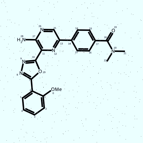 COc1ccccc1-c1nnc(-c2nc(-c3ccc(C(=O)N(C)C)cc3)cnc2N)o1